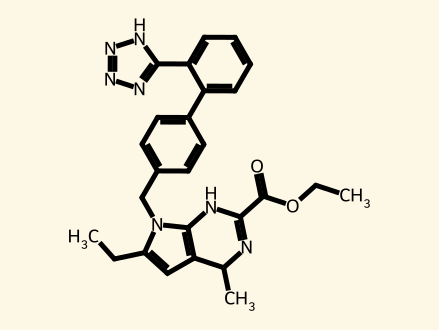 CCOC(=O)C1=NC(C)c2cc(CC)n(Cc3ccc(-c4ccccc4-c4nnn[nH]4)cc3)c2N1